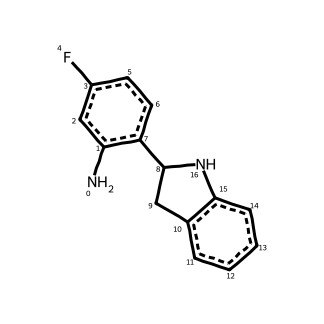 Nc1cc(F)ccc1C1Cc2ccccc2N1